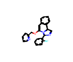 Fc1ccccc1C1N=CC2c3ccccc3C=C(OCc3ccccn3)N21